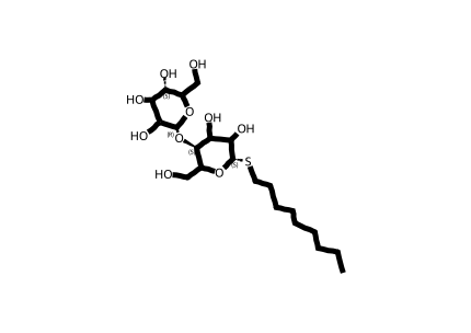 CCCCCCCCCS[C@@H]1OC(CO)[C@@H](O[C@H]2OC(CO)[C@@H](O)C(O)C2O)C(O)C1O